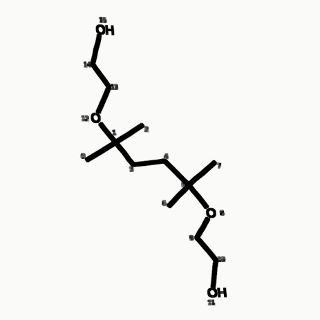 CC(C)(CCC(C)(C)OCCO)OCCO